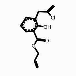 C=CCOC(=O)c1cccc(CC(=C)Cl)c1O